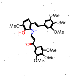 COc1ccc(C=Cc2cc(OC)c(OC)c(OC)c2)c(NC=CC(=O)c2cc(OC)c(OC)c(OC)c2)c1O